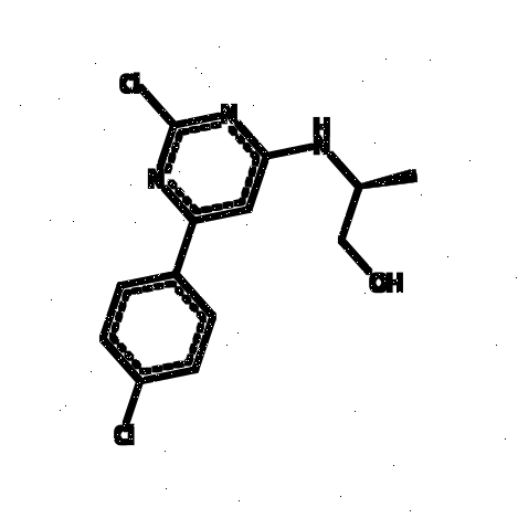 C[C@@H](CO)Nc1cc(-c2ccc(Cl)cc2)nc(Cl)n1